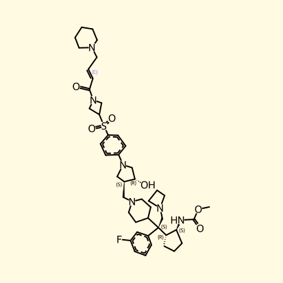 COC(=O)N[C@H]1CCC[C@@H]1[C@](CN1CCC1)(c1cccc(F)c1)C1CCN(C[C@H]2CN(c3ccc(S(=O)(=O)C4CN(C(=O)/C=C/CN5CCCCC5)C4)cc3)C[C@@H]2O)CC1